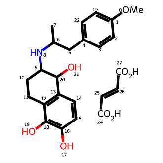 COc1ccc(CC(C)NC2CCc3c(ccc(O)c3O)C2O)cc1.O=C(O)C=CC(=O)O